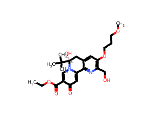 CCOC(=O)c1cn2c(cc1=O)-c1nc(CO)c(OCCCOC)cc1C[C@]2(O)C(C)(C)C